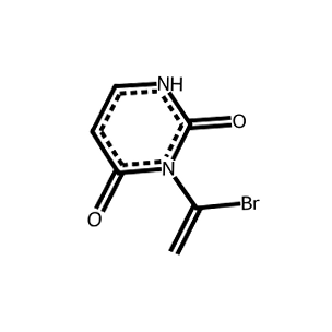 C=C(Br)n1c(=O)cc[nH]c1=O